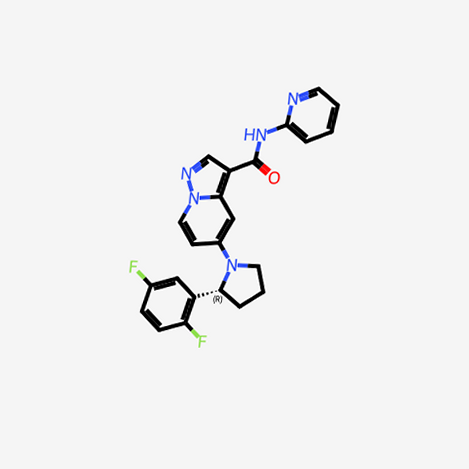 O=C(Nc1ccccn1)c1cnn2ccc(N3CCC[C@@H]3c3cc(F)ccc3F)cc12